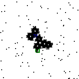 Clc1ccc(-c2cccc(-n3c4ccccc4c4ccccc43)c2)c(-c2ccc3ccccc3c2)c1